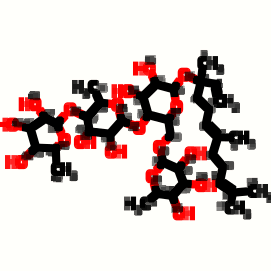 C=CC(C)(CC/C=C(\C)CCC=C(C)C)OC1OC(COC2OC(C)C(O)C(O)C2O)C(OC2OC(C)C(OC3OC(C)C(O)C(O)C3O)C(O)C2O)C(O)C1O